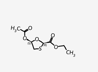 CCOC(=O)[C@@H]1O[C@H](OC(C)=O)CS1